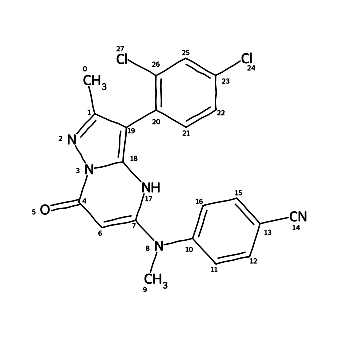 Cc1nn2c(=O)cc(N(C)c3ccc(C#N)cc3)[nH]c2c1-c1ccc(Cl)cc1Cl